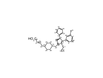 CCSc1c(-c2cncc(F)c2)c(-c2ccccc2)nn1CC1CCC(COCC(=O)O)CC1